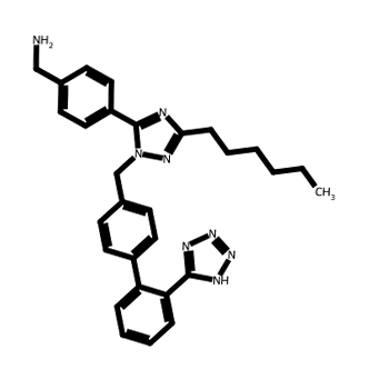 CCCCCCc1nc(-c2ccc(CN)cc2)n(Cc2ccc(-c3ccccc3-c3nnn[nH]3)cc2)n1